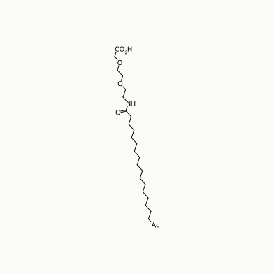 CC(=O)CCCCCCCCCCCCCCCCC(=O)NCCOCCOCC(=O)O